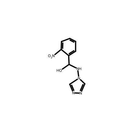 O=[N+]([O-])c1ccccc1C(O)Nn1cnnc1